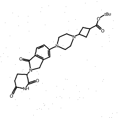 CC(C)(C)OC(=O)C1CC(N2CCN(c3ccc4c(c3)CN(C3CCC(=O)NC3=O)C4=O)CC2)C1